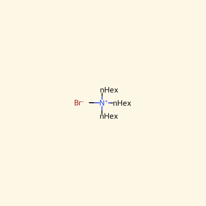 CCCCCC[N+](C)(CCCCCC)CCCCCC.[Br-]